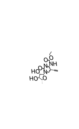 C#Cc1cn([C@@H]2O[C@H](C)[C@@H](O)[C@H]2O)c(=O)nc1NC(=O)OCC